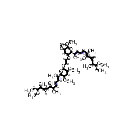 CC[C@H](OC)[C@@H](C)[C@@H]1C=C1[C@H](O)[C@@H](C)/C=C/C=C(\C)[C@@H]1O[C@@H](OC)[C@H](OC)C[C@H]1OCCO[C@@H]1O[C@@H](/C(C)=C/C=C/[C@H](C)[C@@H](O)[C@@H]2C[C@H]2[C@H](C)[C@H](CC)OC)[C@@H](OC)C[C@H]1OC